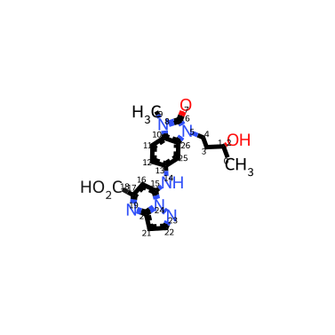 CC(O)CCn1c(=O)n(C)c2ccc(Nc3cc(C(=O)O)nc4ccnn34)cc21